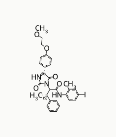 COCCOc1ccc([C@H]2NC(=O)N(C(C(=O)Nc3ccc(I)cc3C)[C@@H](C)c3ccccc3)C2=O)cc1